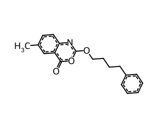 Cc1ccc2nc(OCCCCc3ccccc3)oc(=O)c2c1